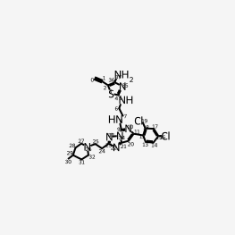 C#Cc1sc(NCCNc2nc(-c3ccc(Cl)cc3Cl)cc3nc(CCN4CCC(C)CC4)nn23)nc1N